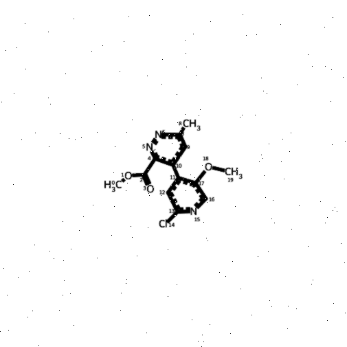 COC(=O)c1nnc(C)cc1-c1cc(Cl)ncc1OC